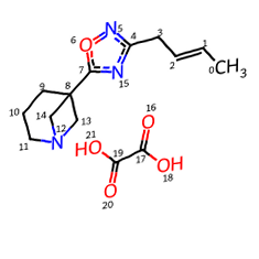 CC=CCc1noc(C23CCCN(C2)C3)n1.O=C(O)C(=O)O